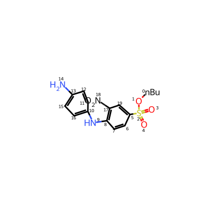 CCCCOS(=O)(=O)c1ccc(Nc2ccc(N)cc2)c([N+](=O)[O-])c1